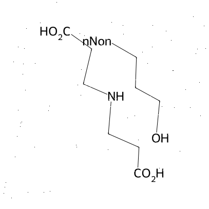 CCCCCCCCCCCCO.O=C(O)CCNCCC(=O)O